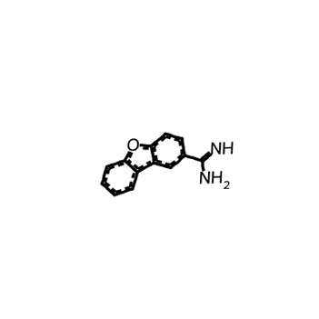 N=C(N)c1ccc2oc3ccccc3c2c1